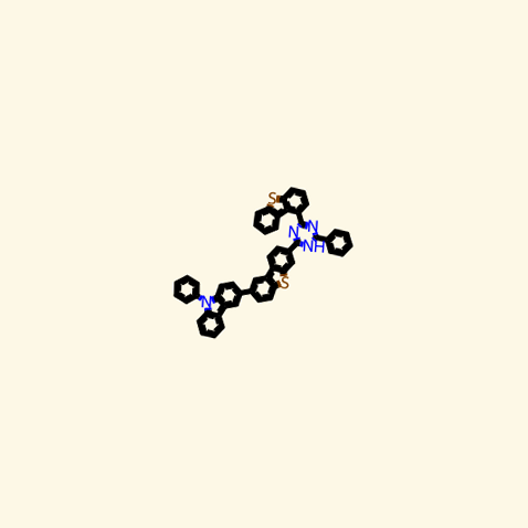 c1ccc(C2N=C(c3cccc4sc5ccccc5c34)N=C(c3ccc4c(c3)sc3ccc(-c5ccc6c(c5)c5ccccc5n6-c5ccccc5)cc34)N2)cc1